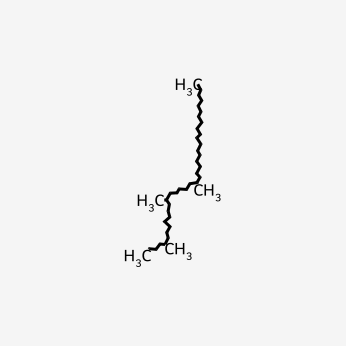 CCCCCCCCCCCCCCCCCCC(C)CCCCCC(C)CCCCCCCC(C)CCCC